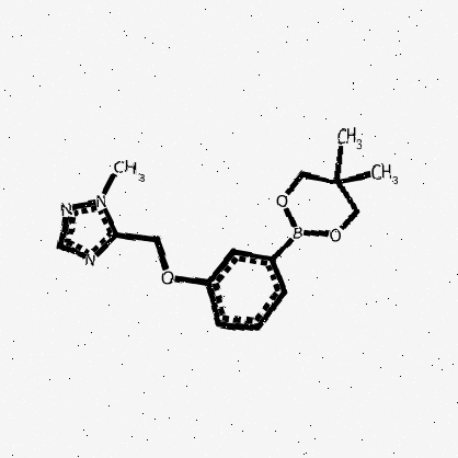 Cn1ncnc1COc1cccc(B2OCC(C)(C)CO2)c1